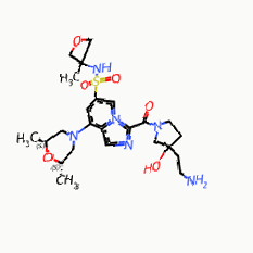 C[C@H]1CN(c2cc(S(=O)(=O)NC3(C)COC3)cn3c(C(=O)N4CCC(O)(CCN)C4)ncc23)C[C@H](C)O1